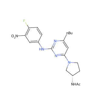 CCCCc1cc(N2CC[C@H](NC(C)=O)C2)nc(Nc2ccc(F)c([N+](=O)[O-])c2)n1